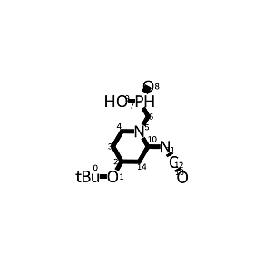 CC(C)(C)OC1CCN(C[PH](=O)O)C(N=C=O)C1